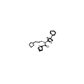 O=C(c1cccs1)N(CCCN1CCCC1)c1nc(-c2ccccc2)cs1